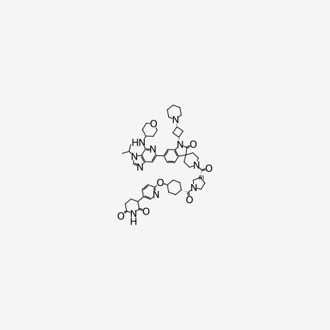 CC(C)n1cnc2cc(-c3ccc4c(c3)N([C@H]3C[C@@H](N5CCCCC5)C3)C(=O)C43CCN(C(=O)[C@@H]4CCN(C(=O)[C@H]5CC[C@H](Oc6ccc(C7CCC(=O)NC7=O)cn6)CC5)C4)CC3)nc(NC3CCOCC3)c21